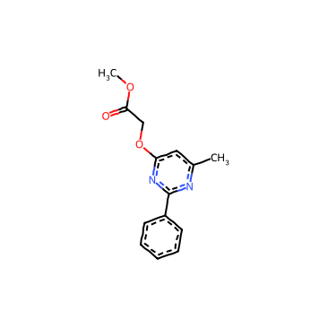 COC(=O)COc1cc(C)nc(-c2ccccc2)n1